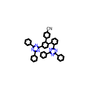 N#Cc1ccc(-c2cc(-c3nc(-c4ccccc4)nc(-c4ccccc4)n3)ccc2-c2ccccc2-c2nc(-c3ccccc3)nc(-c3ccccc3)n2)cc1